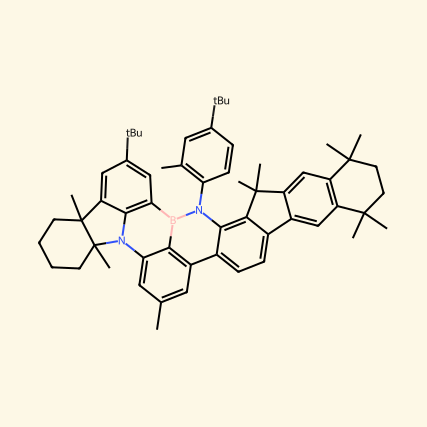 Cc1cc2c3c(c1)N1c4c(cc(C(C)(C)C)cc4C4(C)CCCCC14C)B3N(c1ccc(C(C)(C)C)cc1C)c1c-2ccc2c1C(C)(C)c1cc3c(cc1-2)C(C)(C)CCC3(C)C